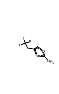 Nc1ncc(CC(F)(F)F)s1